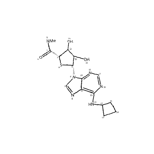 CNC(=O)[C@H]1S[C@@H](n2cnc3c(NC4CCC4)ncnc32)C(O)C1O